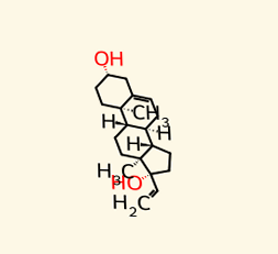 C=C[C@]1(O)CC[C@H]2[C@@H]3CC=C4C[C@@H](O)CC[C@]4(C)[C@H]3CC[C@@]21C